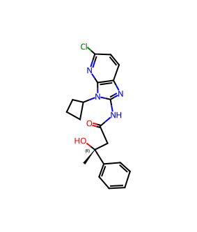 C[C@@](O)(CC(=O)Nc1nc2ccc(Cl)nc2n1C1CCC1)c1ccccc1